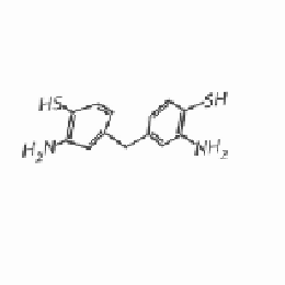 Nc1cc(Cc2ccc(S)c(N)c2)ccc1S